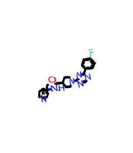 CC1(NC(=O)C2CCN(c3ncnc(-c4ccc(F)cc4)n3)CC2)CCN2CCC1CC2